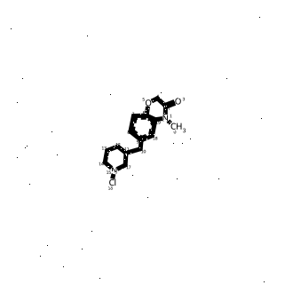 CN1C(=O)COc2ccc(CC3CCCN(Cl)C3)cc21